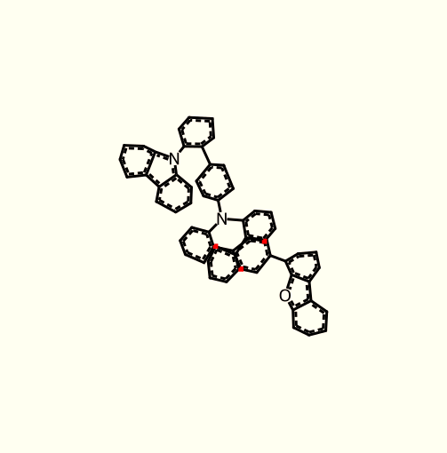 c1ccc(-c2ccccc2N(c2ccc(-c3ccccc3-n3c4ccccc4c4ccccc43)cc2)c2ccccc2-c2ccc(-c3cccc4c3oc3ccccc34)cc2)cc1